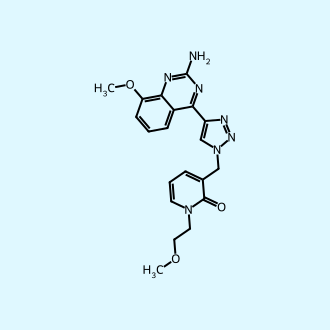 COCCn1cccc(Cn2cc(-c3nc(N)nc4c(OC)cccc34)nn2)c1=O